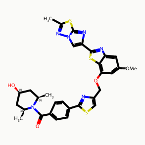 COc1cc(OCc2csc(-c3ccc(C(=O)N4[C@H](C)C[C@H](O)C[C@@H]4C)cc3)n2)c2sc(-c3cn4nc(C)sc4n3)nc2c1